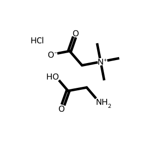 C[N+](C)(C)CC(=O)[O-].Cl.NCC(=O)O